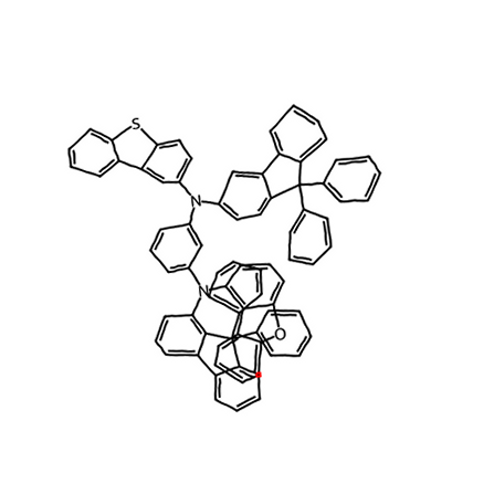 c1ccc(C2(c3ccccc3)c3ccccc3-c3cc(N(c4cccc(N(c5cccc6c5C(c5ccccc5)(c5ccccc5)c5ccccc5-6)c5cccc6oc7ccccc7c56)c4)c4ccc5sc6ccccc6c5c4)ccc32)cc1